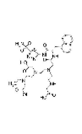 CCN(CCN(CCN(CCNCC(=O)O)CC(=O)N[C@@H](Cc1cccc2ccccc12)C(=O)Nc1nnc(S(N)(=O)=O)s1)CC(=O)O)CC(=O)O